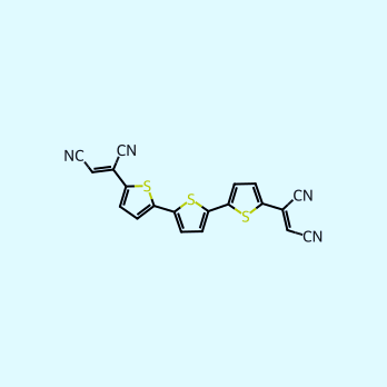 N#C/C=C(\C#N)c1ccc(-c2ccc(-c3ccc(/C(C#N)=C/C#N)s3)s2)s1